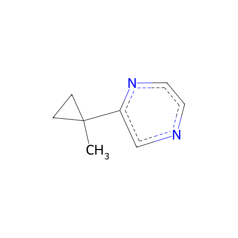 CC1(c2cnccn2)CC1